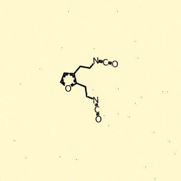 O=C=NCCc1ccoc1CCN=C=O